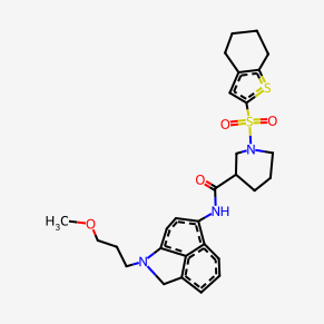 COCCCN1Cc2cccc3c(NC(=O)C4CCCN(S(=O)(=O)c5cc6c(s5)CCCC6)C4)ccc1c23